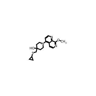 COc1nccc2c(N3CCC(O)(CSC4CC4)CC3)ccnc12